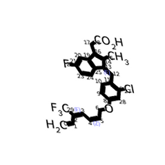 C=C/C(=C\C=C/COc1ccc(/C=C2/C(C)=C(CC(=O)O)c3cc(F)ccc32)c(Cl)c1)C(F)(F)F